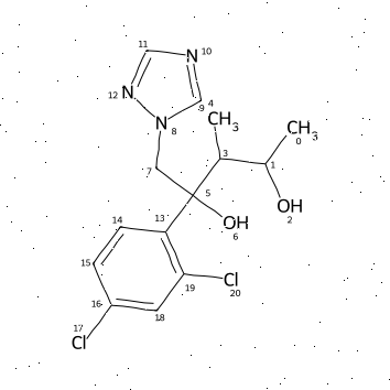 CC(O)C(C)C(O)(Cn1cncn1)c1ccc(Cl)cc1Cl